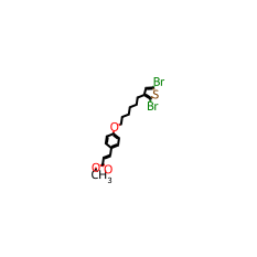 COC(=O)/C=C/c1ccc(OCCCCCCc2cc(Br)sc2Br)cc1